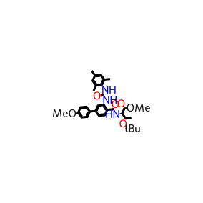 COC(=O)[C@@H](NC(=O)c1ccc(-c2ccc(OC)cc2)cc1NC(=O)Nc1c(C)cc(C)cc1C)C(C)OC(C)(C)C